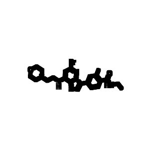 CCNC(=O)c1ccc(-c2cnc3c(NCCN4CCOCC4)cc(Br)nn23)cc1C